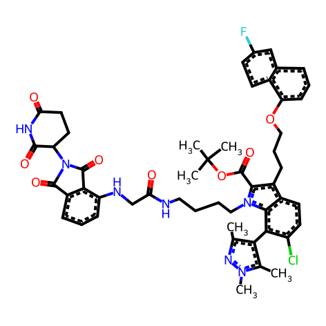 Cc1nn(C)c(C)c1-c1c(Cl)ccc2c(CCCOc3cccc4cc(F)ccc34)c(C(=O)OC(C)(C)C)n(CCCCNC(=O)CNc3cccc4c3C(=O)N(C3CCC(=O)NC3=O)C4=O)c12